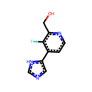 OCc1nccc(-c2cnc[nH]2)c1F